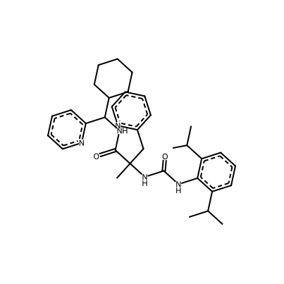 CC(C)c1cccc(C(C)C)c1NC(=O)NC(C)(Cc1ccccn1)C(=O)NC(c1ccccn1)C1CCCCC1